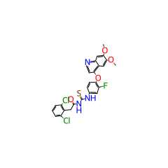 COc1cc2nccc(Oc3ccc(NC(=S)NC(=O)Cc4c(Cl)cccc4Cl)cc3F)c2cc1OC